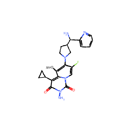 COc1c(N2CCC(C(N)c3ccccn3)C2)c(F)cn2c(=O)n(N)c(=O)c(C3CC3)c12